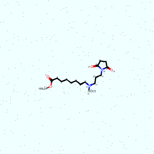 CCCCCCCCCOC(=O)CCCCCCCN(CCCCCCCC)CCCN1C(=O)CCC1=O